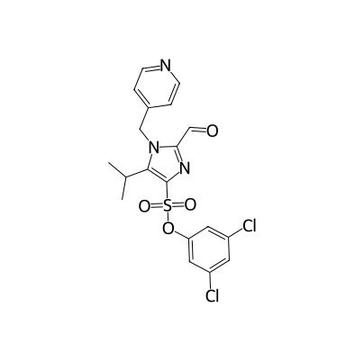 CC(C)c1c(S(=O)(=O)Oc2cc(Cl)cc(Cl)c2)nc(C=O)n1Cc1ccncc1